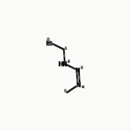 CCCN/N=N\C